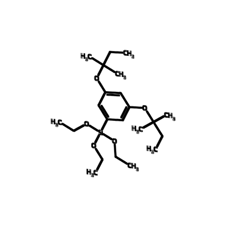 CCO[Si](OCC)(OCC)c1cc(OC(C)(C)CC)cc(OC(C)(C)CC)c1